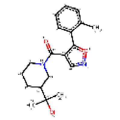 Cc1ccccc1-c1oncc1C(=O)N1CCCC(C(C)(C)O)C1